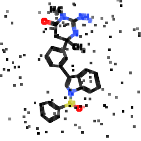 CN1C(=O)CC(C)(c2cccc(-c3cn([S+]([O-])c4ccccc4)c4ccccc34)c2)N=C1N